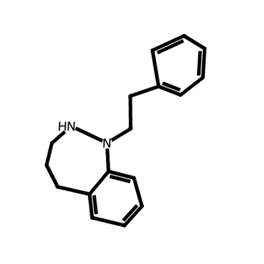 c1ccc(CCN2NCCCc3ccccc32)cc1